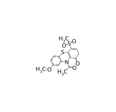 COc1ccc2c(c1)N(C(C)=O)C1=C(S2)C(S(C)(=O)=O)=CCC1=O